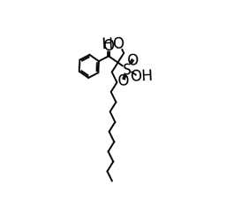 CCCCCCCCCCCCC(CO)(C(=O)c1ccccc1)S(=O)(=O)O